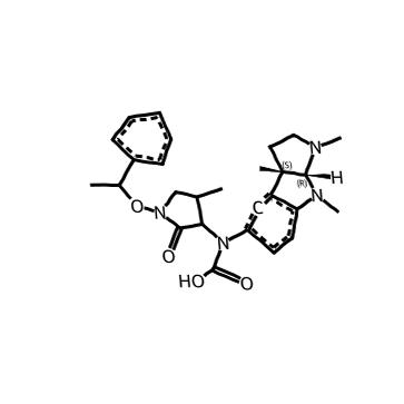 CC(ON1CC(C)C(N(C(=O)O)c2ccc3c(c2)[C@]2(C)CCN(C)[C@@H]2N3C)C1=O)c1ccccc1